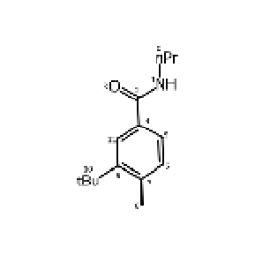 CCCNC(=O)c1ccc(C)c(C(C)(C)C)c1